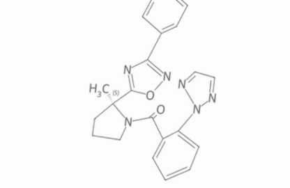 C[C@@]1(c2nc(-c3ccccc3)no2)CCCN1C(=O)c1ccccc1-n1nccn1